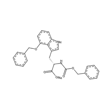 COC(=O)[C@H](Cc1c[nH]c2cccc(OCc3ccccc3)c12)NC(=O)OCc1ccccc1